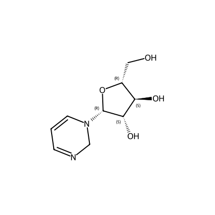 OC[C@H]1O[C@@H](N2C=CC=NC2)[C@@H](O)[C@@H]1O